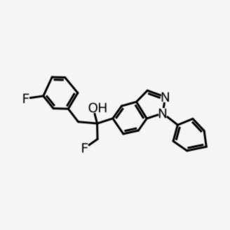 OC(CF)(Cc1cccc(F)c1)c1ccc2c(cnn2-c2ccccc2)c1